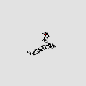 C[C@H]1CN(C2(C)CCN(C(=O)O)CC2)CCN1[C@@H]1c2ccc(C(F)(F)F)cc2C[C@@H]1OS(=O)(=O)C[C@@]12CCC(CC1=O)C2(C)C